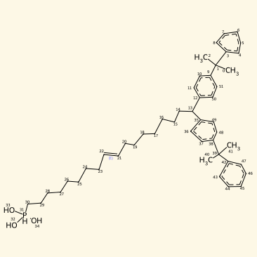 CC(C)(c1ccccc1)c1ccc(C(CCCCCCC/C=C/CCCCCCCC[PH](O)(O)O)c2ccc(C(C)(C)c3ccccc3)cc2)cc1